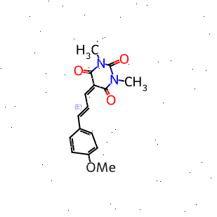 COc1ccc(/C=C/C=C2C(=O)N(C)C(=O)N(C)C2=O)cc1